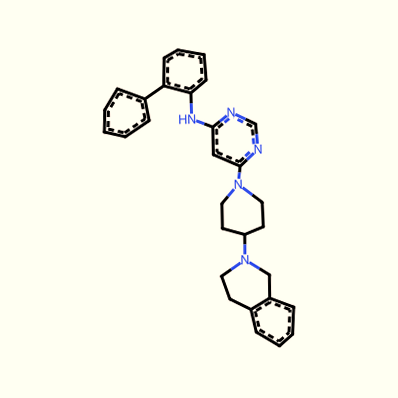 c1ccc(-c2ccccc2Nc2cc(N3CCC(N4CCc5ccccc5C4)CC3)ncn2)cc1